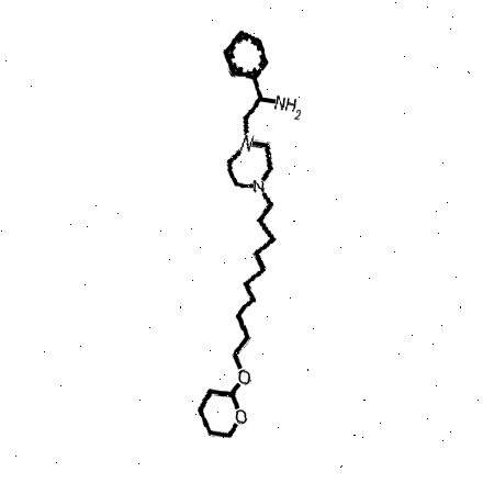 NC(CN1CCN(CCCCCCCCCCOC2CCCCO2)CC1)c1ccccc1